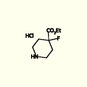 CCOC(=O)C1(F)CCNCC1.Cl